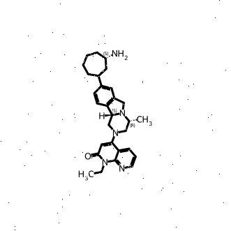 CCn1c(=O)cc(N2C[C@@H](C)N3Cc4cc(C5CCCC[C@H](N)C5)ccc4[C@H]3C2)c2cccnc21